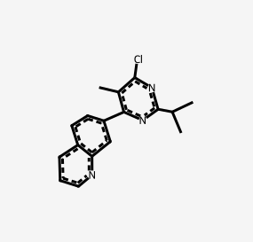 Cc1c(Cl)nc(C(C)C)nc1-c1ccc2cccnc2c1